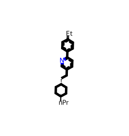 CCC[C@H]1CC[C@H](CCc2ccc(-c3ccc(CC)cc3)nc2)CC1